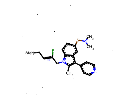 CNC/C=C(\F)Cn1c(C)c(-c2ccncc2)c2cc(SN(C)C)ccc21